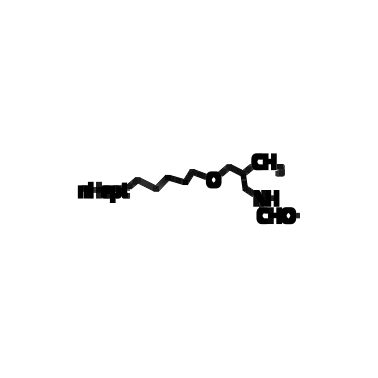 CCCCCCCCCCCCOCC(C)CN[C]=O